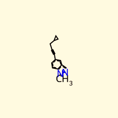 Cn1ncc2cc(C#CCC3CC3)ccc21